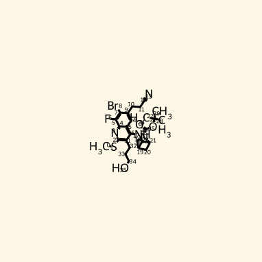 CSc1nc2c(F)c(Br)c(CCC#N)cc2c(NC2C3CC2N(C(=O)OC(C)(C)C)C3)c1CCCO